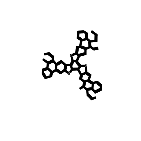 C=Cc1c(/C=C\C)c2ccccc2c2cc3sc4c(c3cc12)c1sc2cc3c(cc2c1c1sc2cc5c(cc2c14)c(/C=C\C)c(C)c1ccccc15)c(C)c(/C=C\C)c1ccccc13